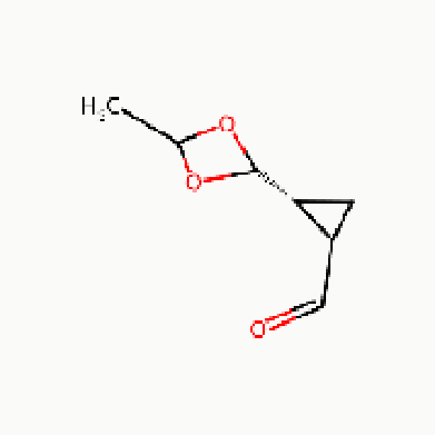 CC1OC([C@@H]2CC2C=O)O1